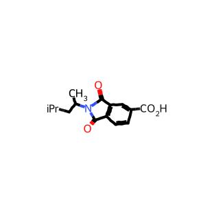 CC(C)CC(C)N1C(=O)c2ccc(C(=O)O)cc2C1=O